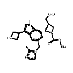 CC(C)(C)OC(=O)N1CC(CC=O)C1.Cc1nccn1Cc1ccc2[nH]cc(C3CNC3)c2c1